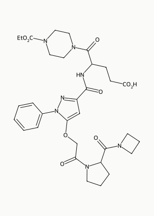 CCOC(=O)N1CCN(C(=O)C(CCC(=O)O)NC(=O)c2cc(OCC(=O)N3CCCC3C(=O)N3CCC3)n(-c3ccccc3)n2)CC1